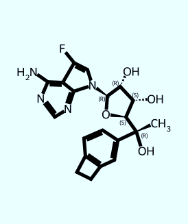 C[C@@](O)(c1ccc2c(c1)CC2)[C@H]1O[C@@H](n2cc(F)c3c(N)ncnc32)[C@H](O)[C@@H]1O